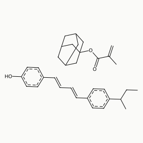 C=C(C)C(=O)OC12CC3CC(CC(C3)C1)C2.CCC(C)c1ccc(C=CC=Cc2ccc(O)cc2)cc1